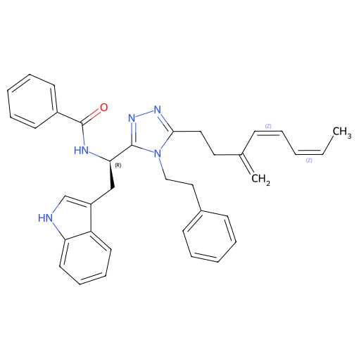 C=C(/C=C\C=C/C)CCc1nnc([C@@H](Cc2c[nH]c3ccccc23)NC(=O)c2ccccc2)n1CCc1ccccc1